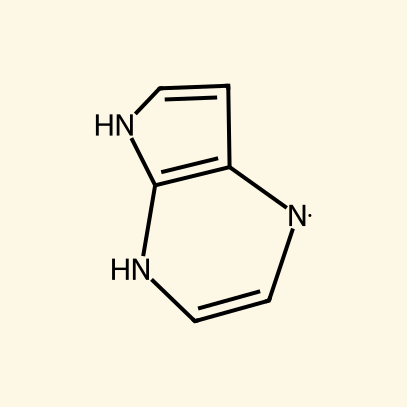 C1=CNc2[nH]ccc2[N]1